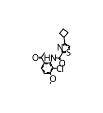 COc1ccc(C(C)=O)c(NC(=O)c2nc(C3CCC3)cs2)c1Cl